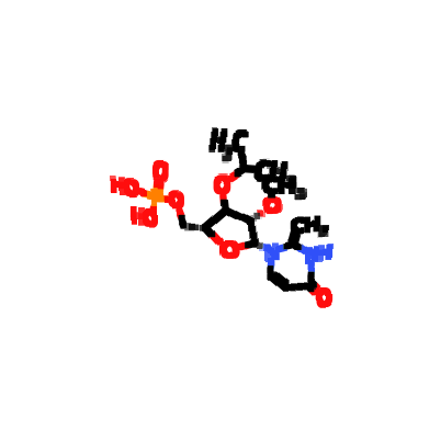 C=C1NC(=O)C=CN1[C@@H]1O[C@H](COP(=O)(O)O)C(OC(C)C)[C@@H]1OC